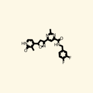 Cc1nc(C(=O)NCc2ccc(F)c(F)c2)cc(C2=NOC(c3cc[nH]c(=O)c3C)C2)n1